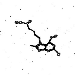 COC(=O)CCCCn1c(C)nc2nc(Cl)nc(SC(C)C)c21